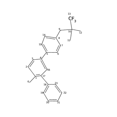 Cc1ccc(-c2ccc(CC(C)(C)C(F)(F)F)cc2)cc1-c1ccccc1